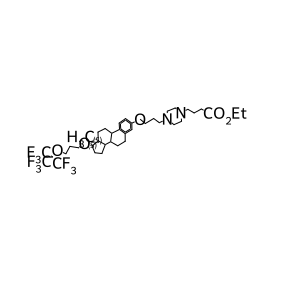 CCOC(=O)CCCN1CCN(CCCOc2ccc3c(c2)CCC2C3CC[C@@]3(C)C2CC[C@@H]3OCCCOC(C(F)(F)F)(C(F)(F)F)C(F)(F)F)CC1